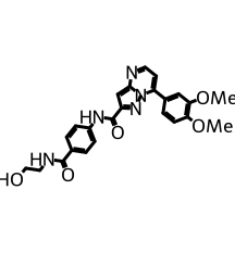 COc1ccc(-c2ccnc3cc(C(=O)Nc4ccc(C(=O)NCCO)cc4)nn23)cc1OC